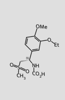 CCOc1cc([C@@H](CS(C)(=O)=O)NC(=O)O)ccc1OC